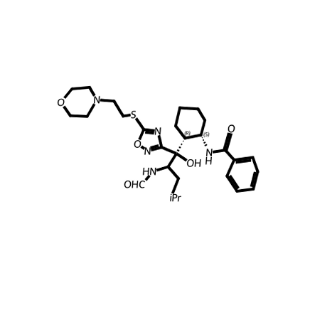 CC(C)CC(NC=O)C(O)(c1noc(SCCN2CCOCC2)n1)[C@@H]1CCCC[C@@H]1NC(=O)c1ccccc1